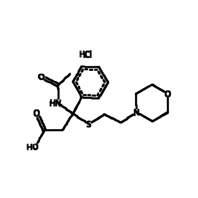 CC(=O)NC(CC(=O)O)(SCCN1CCOCC1)c1ccccc1.Cl